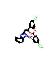 CCCn1c(C=C(OC(=O)c2ccc(Cl)cc2)c2ccc(Cl)cc2)nc2ccccc21